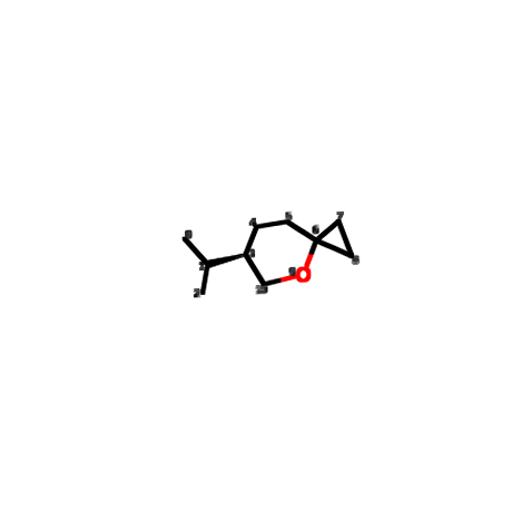 CC(C)[C@H]1CCC2(CC2)OC1